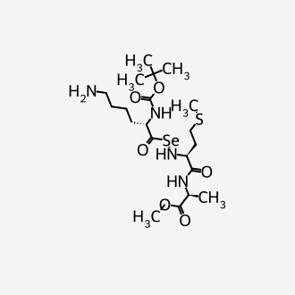 COC(=O)[C@H](C)NC(=O)[C@H](CCSC)N[Se]C(=O)[C@H](CCCCN)NC(=O)OC(C)(C)C